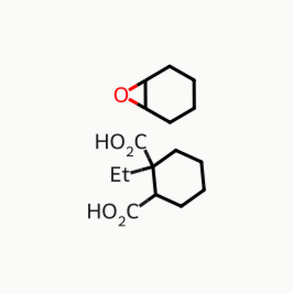 C1CCC2OC2C1.CCC1(C(=O)O)CCCCC1C(=O)O